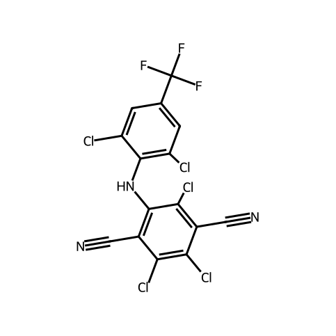 N#Cc1c(Cl)c(Cl)c(C#N)c(Nc2c(Cl)cc(C(F)(F)F)cc2Cl)c1Cl